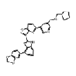 c1cc(-c2ccc3c(c2)OCO3)c2nc(-c3n[nH]c4ccc(-c5cncc(CNCC6CCCC6)c5)nc34)[nH]c2c1